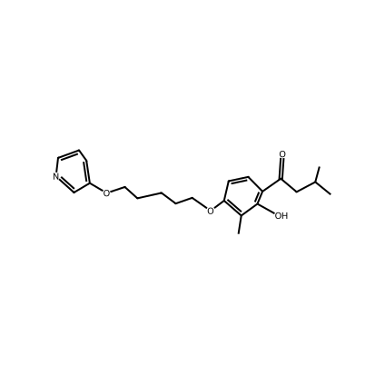 Cc1c(OCCCCCOc2cccnc2)ccc(C(=O)CC(C)C)c1O